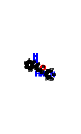 O=C(CC1CNc2ccccc21)Nc1ccncc1